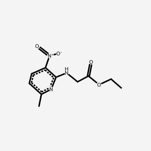 CCOC(=O)CNc1nc(C)ccc1[N+](=O)[O-]